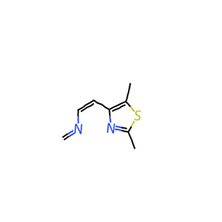 C=N/C=C\c1nc(C)sc1C